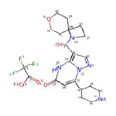 O=C(O)C(F)(F)F.O=C(c1cnn2c(C3CCNCC3)cc(=O)[nH]c12)N1CCC12CCOCC2